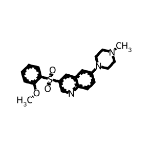 COc1ccccc1S(=O)(=O)c1cnc2ccc(N3CCN(C)CC3)cc2c1